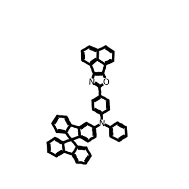 c1ccc(N(c2ccc(-c3nc4c(o3)-c3cccc5cccc-4c35)cc2)c2ccc3c(c2)-c2ccccc2C32c3ccccc3-c3ccccc32)cc1